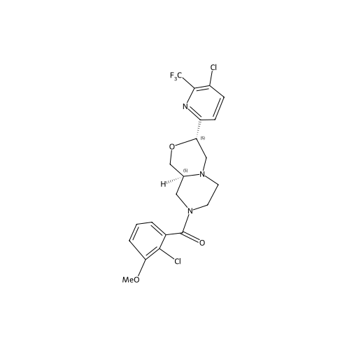 COc1cccc(C(=O)N2CCN3C[C@@H](c4ccc(Cl)c(C(F)(F)F)n4)OC[C@@H]3C2)c1Cl